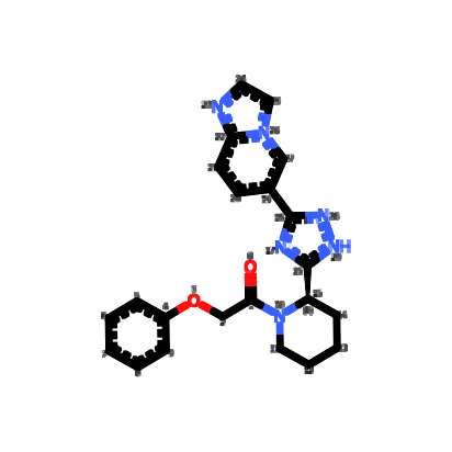 O=C(COc1ccccc1)N1CCCC[C@@H]1c1nc(-c2ccc3nccn3c2)n[nH]1